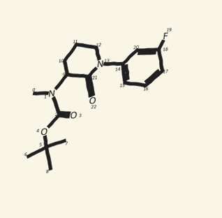 CN(C(=O)OC(C)(C)C)C1CCCN(c2cccc(F)c2)C1=O